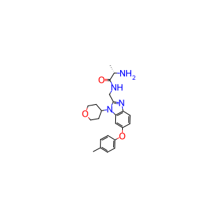 Cc1ccc(Oc2ccc3nc(CNC(=O)[C@H](C)N)n(C4CCOCC4)c3c2)cc1